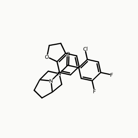 O=C(c1cc(F)c(F)cc1Cl)N1CC2CCC(C1)N2c1cccc2c1OCC2